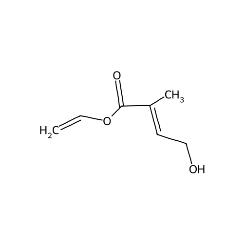 C=COC(=O)C(C)=CCO